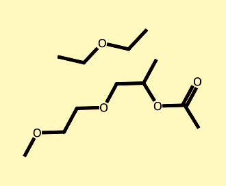 CCOCC.COCCOCC(C)OC(C)=O